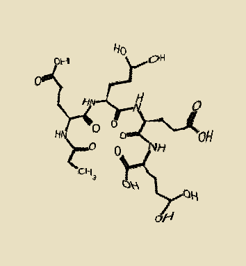 CCC(=O)N[C@@H](CCC(=O)O)C(=O)N[C@@H](CCC(O)O)C(=O)N[C@@H](CCC(=O)O)C(=O)N[C@@H](CCC(O)O)C(=O)O